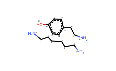 NCCCCCCN.NCCc1ccc(O)cc1